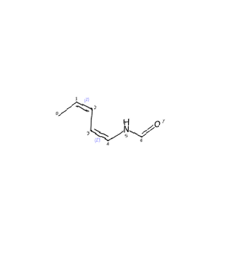 C/C=C\C=C/NC=O